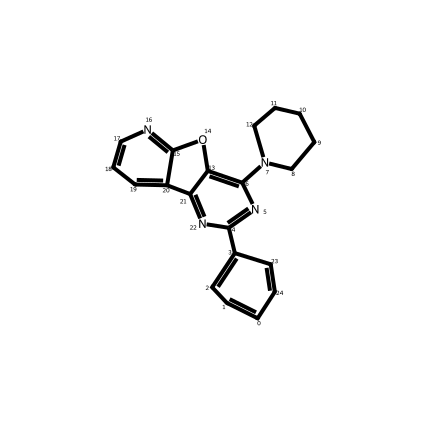 c1ccc(-c2nc(N3CCCCC3)c3oc4ncccc4c3n2)cc1